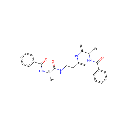 C=C(CCNC(=O)[C@@H](NC(=O)c1ccccc1)C(C)C)NC(=C)C(NC(=O)c1ccccc1)C(C)C